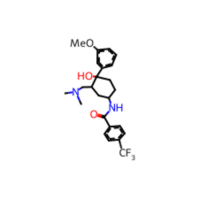 COc1cccc(C2(O)CCC(NC(=O)c3ccc(C(F)(F)F)cc3)CC2CN(C)C)c1